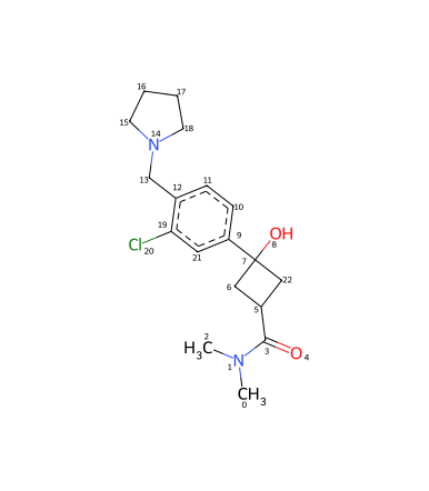 CN(C)C(=O)C1CC(O)(c2ccc(CN3CCCC3)c(Cl)c2)C1